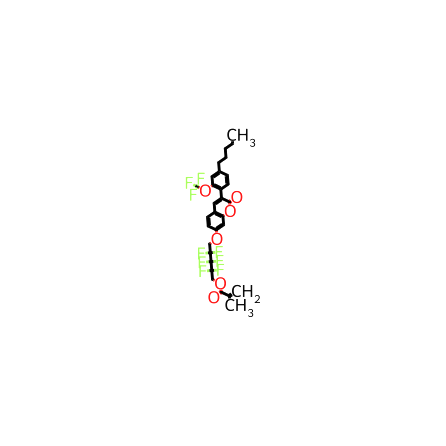 C=C(C)C(=O)OCC(F)(F)C(F)(F)C(F)(F)COc1ccc2cc(-c3ccc(CCCCC)cc3OC(F)(F)F)c(=O)oc2c1